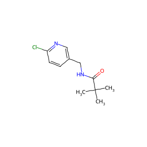 CC(C)(C)C(=O)NCc1ccc(Cl)nc1